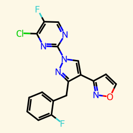 Fc1ccccc1Cc1nn(-c2ncc(F)c(Cl)n2)cc1-c1ccon1